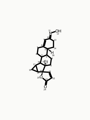 CC[C@]12CCC3C(CCC4=C/C(=N/O)CC[C@@H]43)C1C1CC1[C@@]21C=CC(=O)O1